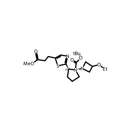 CCOC1CN([N+]2(C(=O)OC(C)(C)C)CCC[C@H]2c2ncc(CCC(=O)OC)s2)C1